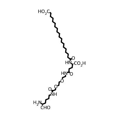 N[C@H](C=O)CCCCNC(=O)COCCOCCNC(=O)CC[C@H](NC(=O)CCCCCCCCCCCCCCCCCCC(=O)O)C(=O)O